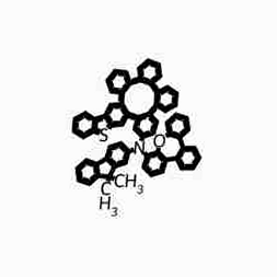 CC1(C)c2ccccc2-c2ccc(N(c3ccc4c5ccccc5c5ccccc5c5ccccc5c5cc6c(cc5c4c3)sc3ccccc36)c3cccc4c3Oc3ccccc3-c3ccccc3-4)cc21